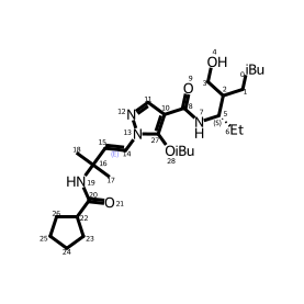 CCC(C)CC(CO)[C@H](CC)NC(=O)c1cnn(/C=C/C(C)(C)NC(=O)C2CCCC2)c1OCC(C)C